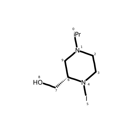 CC(C)N1CCN(I)[C@H](CO)C1